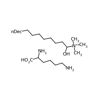 CCCCCCCCCCCCCCCCCC(O)[N+](C)(C)C.NCCCCC(N)C(=O)O